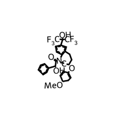 COC1C=CC(O[C@H]2CCc3cc(C(O)(C(F)(F)F)C(F)(F)F)ccc3N(C(=O)[C@@H](O)c3ccccc3)C2)=CC1